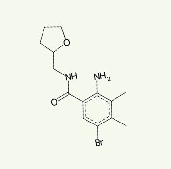 Cc1c(Br)cc(C(=O)NCC2CCCO2)c(N)c1C